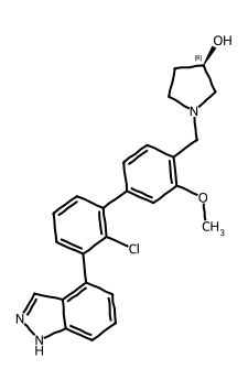 COc1cc(-c2cccc(-c3cccc4[nH]ncc34)c2Cl)ccc1CN1CC[C@@H](O)C1